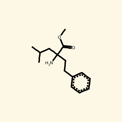 COC(=O)C(N)(CCc1ccccc1)CC(C)C